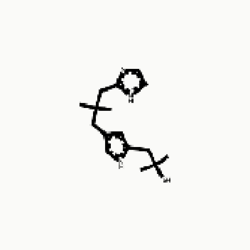 CC(C)(S)Cc1cc(CC(C)(C)Cc2ncc[nH]2)c[nH]1